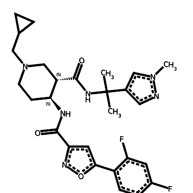 Cn1cc(C(C)(C)NC(=O)[C@H]2CN(CC3CC3)CC[C@@H]2NC(=O)c2cc(-c3ccc(F)cc3F)on2)cn1